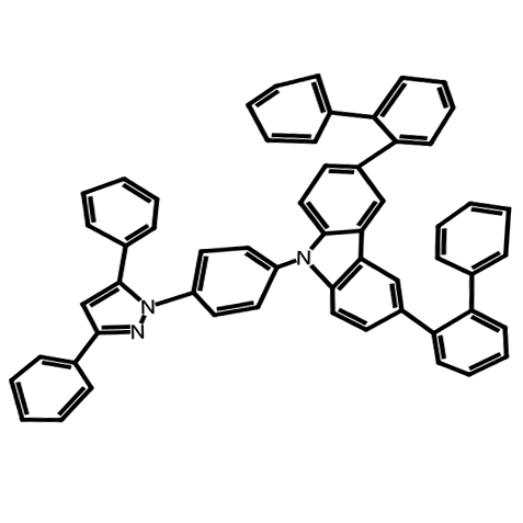 c1ccc(-c2cc(-c3ccccc3)n(-c3ccc(-n4c5ccc(-c6ccccc6-c6ccccc6)cc5c5cc(-c6ccccc6-c6ccccc6)ccc54)cc3)n2)cc1